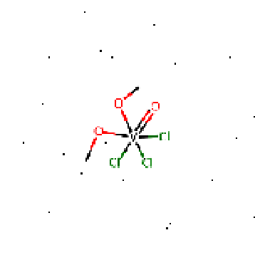 C[O][V](=[O])([Cl])([Cl])([Cl])[O]C